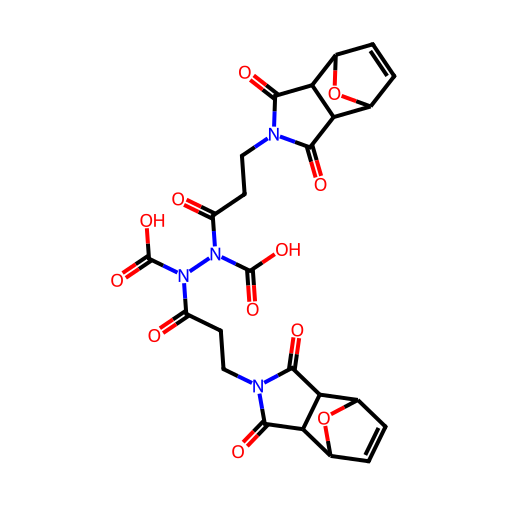 O=C1C2C3C=CC(O3)C2C(=O)N1CCC(=O)N(C(=O)O)N(C(=O)O)C(=O)CCN1C(=O)C2C3C=CC(O3)C2C1=O